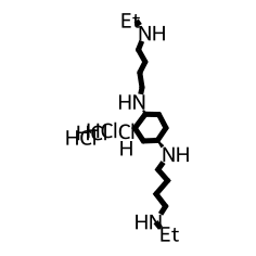 CCNCCCCN[C@H]1CC[C@H](NCCCCNCC)CC1.Cl.Cl.Cl.Cl